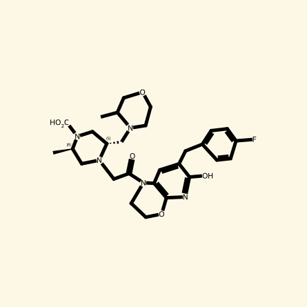 CC1COCCN1C[C@H]1CN(C(=O)O)[C@H](C)CN1CC(=O)N1CCOc2nc(O)c(Cc3ccc(F)cc3)cc21